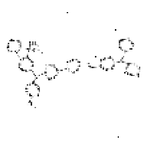 Cc1ccc(N(c2ccc(-c3ccc(/C=C/c4ccc(N(c5ccccc5)c5ccccc5)cc4)cc3)cc2)c2ccc3c(c2)C(C)(C)c2ccccc2-3)cc1